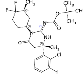 C[C@H]1C[C@@H](N2C(=O)C[C@@](C)(c3cccc(I)c3Cl)N/C2=N\C(=O)OC(C)(C)C)CCC1(F)F